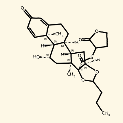 CCCC1O[C@@H]2C[C@H]3[C@@H]4CCC5=CC(=O)C=C[C@]5(C)[C@H]4[C@@H](O)C[C@]3(C)[C@]2(C(=O)SC2CCOC2=O)O1